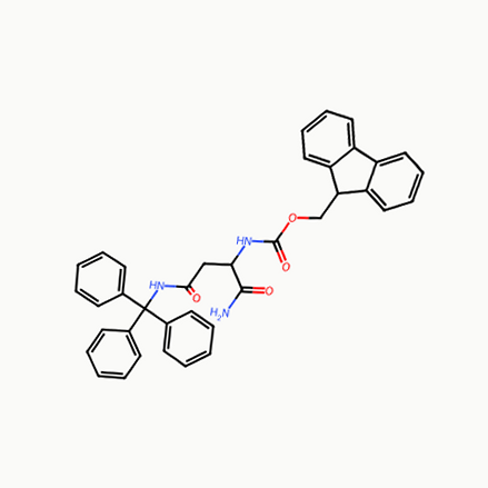 NC(=O)C(CC(=O)NC(c1ccccc1)(c1ccccc1)c1ccccc1)NC(=O)OCC1c2ccccc2-c2ccccc21